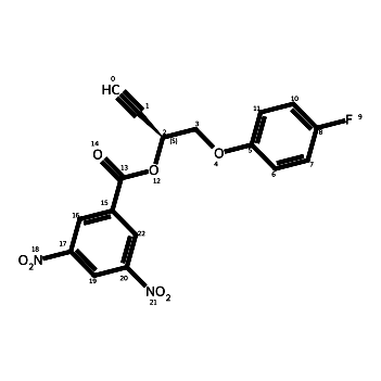 C#C[C@@H](COc1ccc(F)cc1)OC(=O)c1cc([N+](=O)[O-])cc([N+](=O)[O-])c1